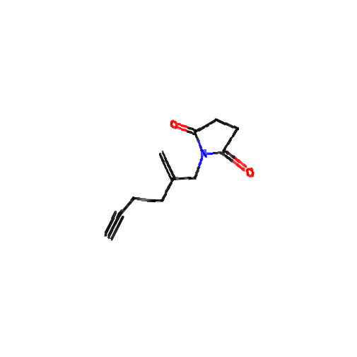 C#CCCC(=C)CN1C(=O)CCC1=O